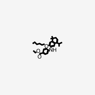 CCCCCCOc1cc2c(cc1Nc1ccc(C(=O)OCC)cc1)C(C(C)C)=CCC2(C)C